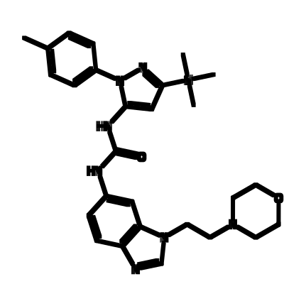 Cc1ccc(-n2nc([Si](C)(C)C)cc2NC(=O)Nc2ccc3ncn(CCN4CCOCC4)c3c2)cc1